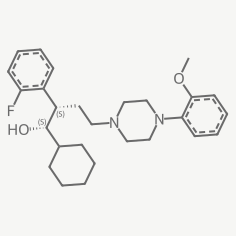 COc1ccccc1N1CCN(CC[C@@H](c2ccccc2F)[C@@H](O)C2CCCCC2)CC1